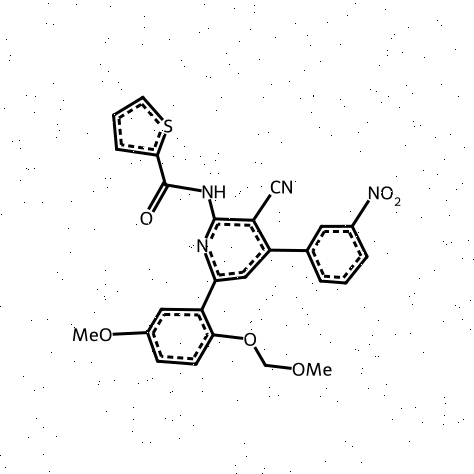 COCOc1ccc(OC)cc1-c1cc(-c2cccc([N+](=O)[O-])c2)c(C#N)c(NC(=O)c2cccs2)n1